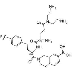 NCCN(CCN)C(=O)CC[C@H](N)C(=O)N[C@H](CCc1ccc(C(F)(F)F)cc1)C(=O)N1CCc2ccc(B(O)O)cc2C1